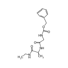 CCNC(=O)[C@H](C)NC(=O)CNC(=O)OCc1ccccc1